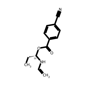 C=CN[C@H](CC)OC(=O)c1ccc(C#N)cc1